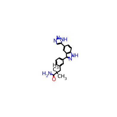 CC(C)(Cc1cccc(-c2n[nH]c3ccc(-c4cnn[nH]4)cc23)c1)C(N)=O